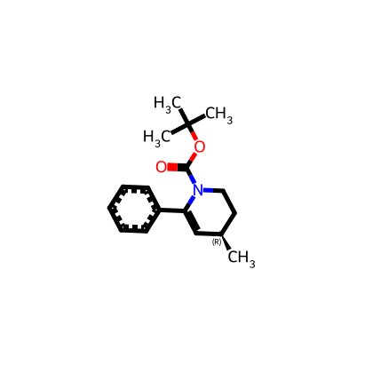 C[C@H]1C=C(c2ccccc2)N(C(=O)OC(C)(C)C)CC1